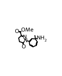 COC(=O)C1=NN(C2=CC(C)(N)C=CC=C2)C(=O)CC1